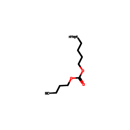 CCCCCCCCCCCOC(=O)OCCCC#N